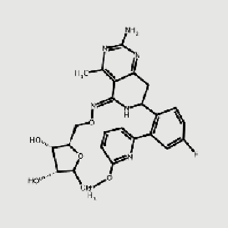 COc1cccc(-c2cc(F)ccc2C2Cc3nc(N)nc(C)c3C(=NOC[C@H]3OC(O)[C@H](O)[C@@H]3O)N2)n1